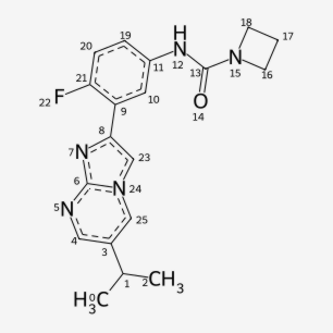 CC(C)c1cnc2nc(-c3cc(NC(=O)N4CCC4)ccc3F)cn2c1